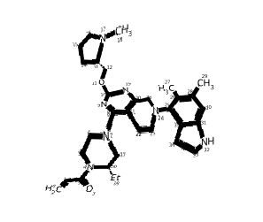 C=CC(=O)N1CCN(c2nc(OC[C@@H]3CCCN3C)nc3c2CCN(c2c(C)c(C)cc4[nH]ccc24)C3)C[C@@H]1CC